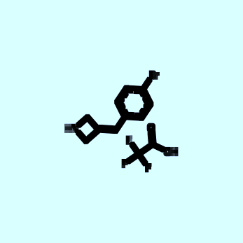 Brc1ccc(C=C2CNC2)cc1.O=C(O)C(F)(F)F